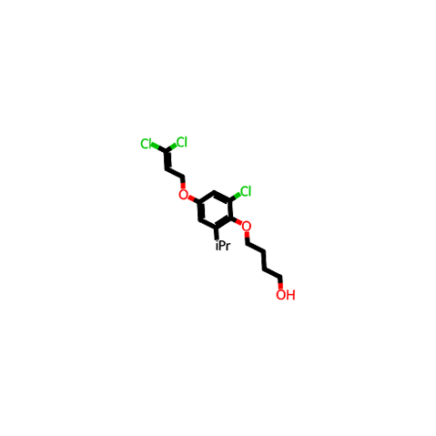 CC(C)c1cc(OCC=C(Cl)Cl)cc(Cl)c1OCCCCO